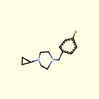 Brc1ccc(CN2CCN(C3CC3)CC2)cc1